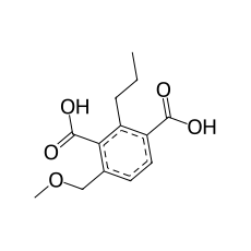 CCCc1c(C(=O)O)ccc(COC)c1C(=O)O